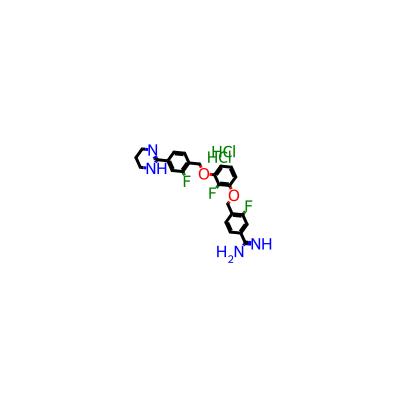 Cl.Cl.N=C(N)c1ccc(COc2cccc(OCc3ccc(C4=NCCCN4)cc3F)c2F)c(F)c1